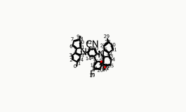 Cc1ccc2c3ccc(C)cc3n(-c3cc(-c4cc(F)cc(F)c4)c(-n4c5cc(C)ccc5c5ccc(C)cc54)cc3C#N)c2c1